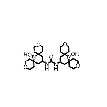 O=C(NC1CC2(CCOCC2)N(O)C2(CCOCC2)C1)NC1CC2(CCOCC2)N(O)C2(CCOCC2)C1